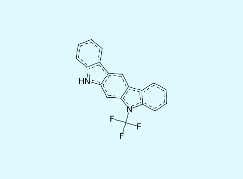 FC(F)(F)n1c2ccccc2c2cc3c(cc21)[nH]c1ccccc13